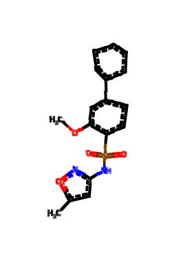 COc1cc(-c2ccccc2)ccc1S(=O)(=O)Nc1cc(C)on1